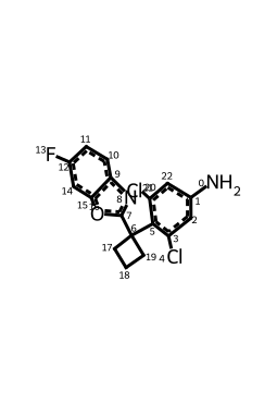 Nc1cc(Cl)c(C2(c3nc4ccc(F)cc4o3)CCC2)c(Cl)c1